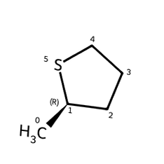 C[C@@H]1CCCS1